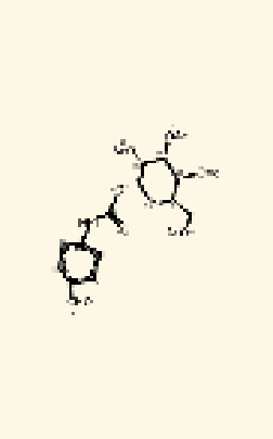 CC(=O)OC[C@H]1O[C@H](OC(=O)Nc2ccc(C=O)cc2)[C@H](OC(C)=O)[C@@H](OC(C)=O)[C@H]1OC(C)=O